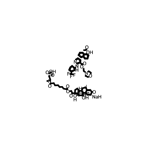 CC(=O)O.C[C@H]1C[C@@H]2[C@H]([C@@H](O)C[C@@]3(C)[C@H]2CC[C@]3(O)C(=O)COC(=O)CCCCCCC(=O)N(C)CCS(=O)(=O)O)[C@@]2(C)C=CC(=O)C=C12.O=C(OCCN1CCOCC1)c1cccnc1Nc1cccc(C(F)(F)F)c1.[NaH].c1ccc2ccccc2c1